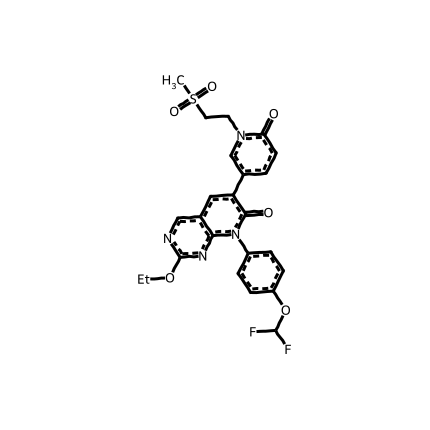 CCOc1ncc2cc(-c3ccc(=O)n(CCS(C)(=O)=O)c3)c(=O)n(-c3ccc(OC(F)F)cc3)c2n1